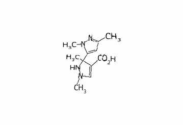 Cc1cc(C2(C)NN(C)C=C2C(=O)O)n(C)n1